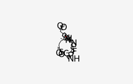 COC(=O)C(C)(C)Cc1cccc([C@@]2(C)CCCC(C)(C)CS(=O)(=O)CCc3c(c(F)cc4[nH]ccc34)Sc3ccnc(c3)-c3nc2nn3C)c1